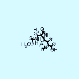 COC(=S)NC(C)[C@H]1C(=O)N[C@@H]1C(C)C(=O)C(=[N+]=[N-])C(=O)O